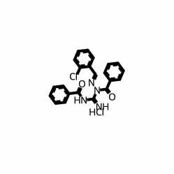 Cl.N=C(NC(=O)c1ccccc1)N(N=Cc1ccccc1Cl)C(=O)c1ccccc1